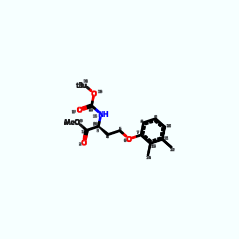 COC(=O)[C@H](CCOc1cccc(C)c1C)NC(=O)OC(C)(C)C